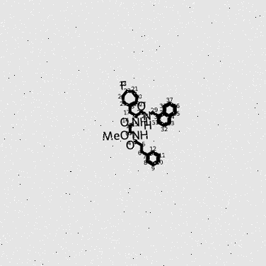 CO[C@H](NC(=O)CCc1ccccc1)C(=O)NC(CC1=CC=CC(F)CC1)C(=O)NCc1cccc2ccccc12